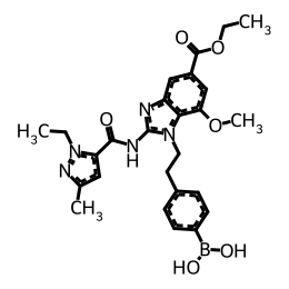 CCOC(=O)c1cc(OC)c2c(c1)nc(NC(=O)c1cc(C)nn1CC)n2CCc1ccc(B(O)O)cc1